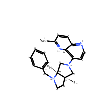 COc1ccc2nccc(N3C[C@H]4CCN(Cc5ccccc5)[C@H]4C3)c2n1